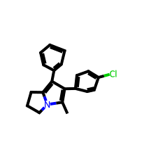 Cc1c(-c2ccc(Cl)cc2)c(-c2ccccc2)c2n1CCC2